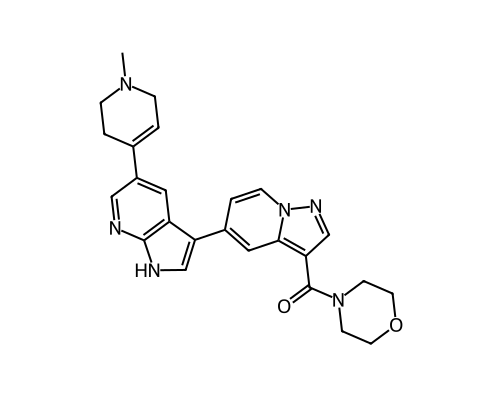 CN1CC=C(c2cnc3[nH]cc(-c4ccn5ncc(C(=O)N6CCOCC6)c5c4)c3c2)CC1